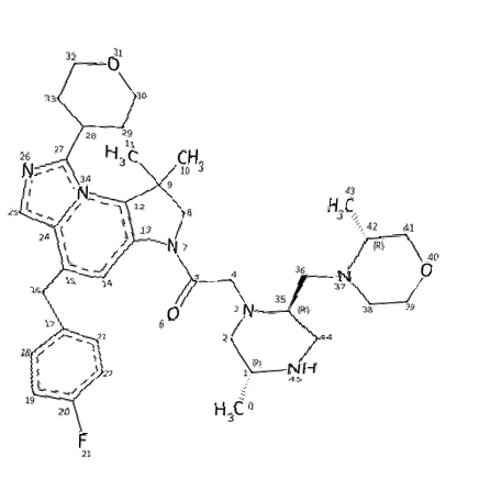 C[C@@H]1CN(CC(=O)N2CC(C)(C)c3c2cc(Cc2ccc(F)cc2)c2cnc(C4CCOCC4)n32)[C@@H](CN2CCOC[C@H]2C)CN1